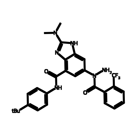 CN(C)c1nc2c(C(=O)Nc3ccc(C(C)(C)C)cc3)cc(N(N)C(=O)c3ccccc3C(F)(F)F)cc2[nH]1